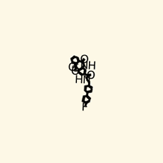 O=C(NCc1ccc(-c2ccc(F)cc2)cc1)c1ccc2c(c1)NC(=O)c1ccccc1S2(=O)=O